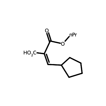 CCCOC(=O)C(=CC1CCCC1)C(=O)O